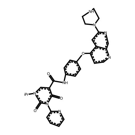 CC(C)n1cc(C(=O)Nc2ccc(Oc3ccnc4cnc(N5CCNCC5)cc34)cc2)c(=O)n(-c2ccccn2)c1=O